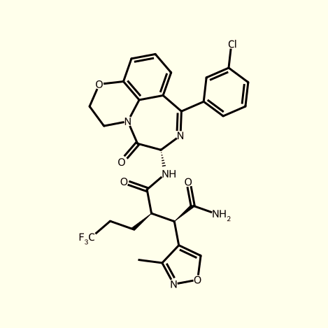 Cc1nocc1[C@H](C(N)=O)[C@@H](CCC(F)(F)F)C(=O)N[C@H]1N=C(c2cccc(Cl)c2)c2cccc3c2N(CCO3)C1=O